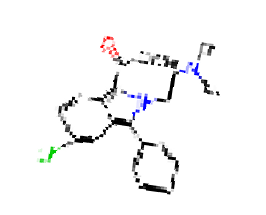 CCN(CC)CCn1c(C(=O)OC)c2ccc(Cl)cc2c1-c1ccccc1